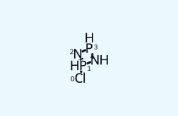 Cl[PH]1=NPN1